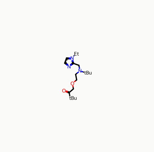 CCn1ccnc1CN(CCOCC(=O)C(C)(C)C)C(C)(C)C